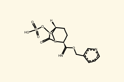 N=C(OCc1cccnc1)[C@@H]1CC[C@@H]2CN1C(=O)N2OS(=O)(=O)O